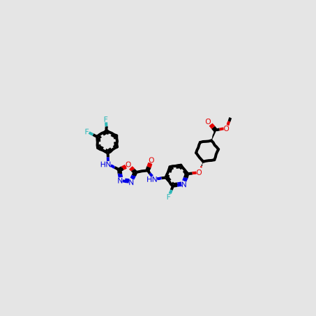 COC(=O)[C@H]1CC[C@H](Oc2ccc(NC(=O)c3nnc(Nc4ccc(F)c(F)c4)o3)c(F)n2)CC1